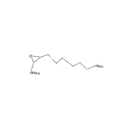 CCCCCCCCCCCCCCCC1OC1CCCCCC